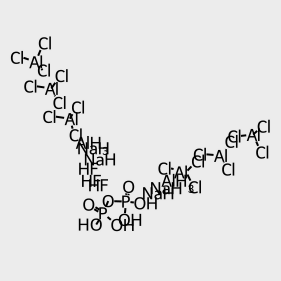 F.F.F.O=P(O)(O)OP(=O)(O)O.[AlH3].[AlH3].[Cl][Al]([Cl])[Cl].[Cl][Al]([Cl])[Cl].[Cl][Al]([Cl])[Cl].[Cl][Al]([Cl])[Cl].[Cl][Al]([Cl])[Cl].[Cl][Al]([Cl])[Cl].[NaH].[NaH].[NaH].[NaH]